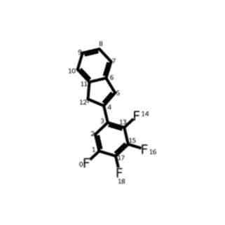 Fc1cc(C2=Cc3ccccc3[CH]2)c(F)c(F)c1F